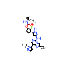 Cn1nccc1-c1cnc(Nc2cc([C@@H]3CC[C@H](OC(O)NC4(C)CC4)[C@@H]3F)[nH]n2)n2cc(C#N)nc12